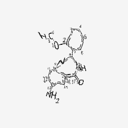 COc1ccccc1-c1nc2ccc(N)cc2c(=O)[nH]1